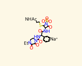 CCN1CCN(C(=O)NC(C(=O)NC2C(=O)N(S(=O)(=O)[O-])C2SCCNC(C)=O)c2ccccc2)C(=O)C1=O.[Na+]